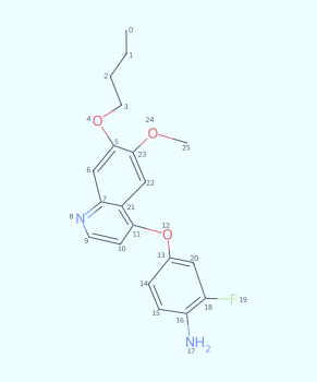 CCCCOc1cc2nccc(Oc3ccc(N)c(F)c3)c2cc1OC